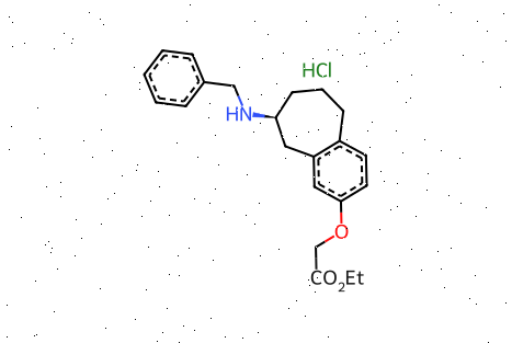 CCOC(=O)COc1ccc2c(c1)C[C@@H](NCc1ccccc1)CCC2.Cl